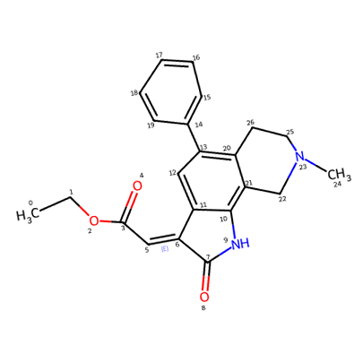 CCOC(=O)/C=C1/C(=O)Nc2c1cc(-c1ccccc1)c1c2CN(C)CC1